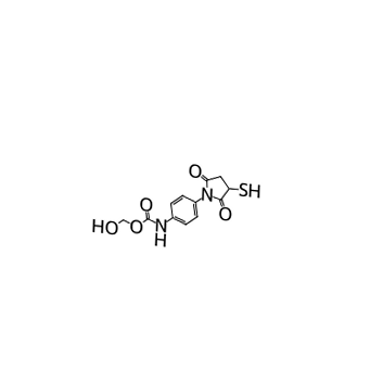 O=C(Nc1ccc(N2C(=O)CC(S)C2=O)cc1)OCO